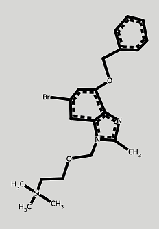 Cc1nc2c(OCc3ccccc3)cc(Br)cc2n1COCC[Si](C)(C)C